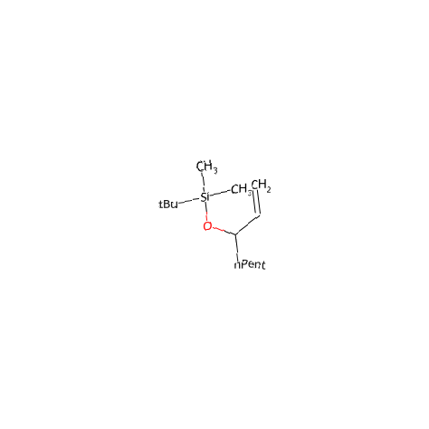 C=CC(CCCCC)O[Si](C)(C)C(C)(C)C